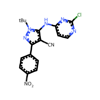 CC(C)(C)n1nc(-c2ccc([N+](=O)[O-])cc2)c(C#N)c1Nc1ccnc(Cl)n1